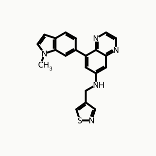 Cn1ccc2ccc(-c3cc(NCc4cnsc4)cc4nccnc34)cc21